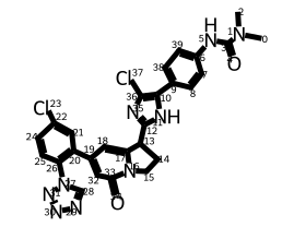 CN(C)C(=O)Nc1ccc(-c2[nH]c(C3CCn4c3cc(-c3cc(Cl)ccc3-n3cnnn3)cc4=O)nc2Cl)cc1